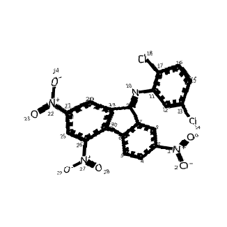 O=[N+]([O-])c1ccc2c(c1)C(=Nc1cc(Cl)ccc1Cl)c1cc([N+](=O)[O-])cc([N+](=O)[O-])c1-2